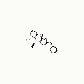 N#CC(c1ccc(Sc2ccccc2)nn1)c1c(Cl)cccc1Cl